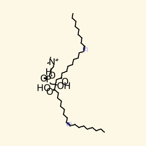 CCCCCCCC/C=C\CCCCCCCC(=O)CC(O)(C(=O)CCCCCCC/C=C\CCCCCCCC)C(O)[PH](=O)OCC[N+](C)(C)C